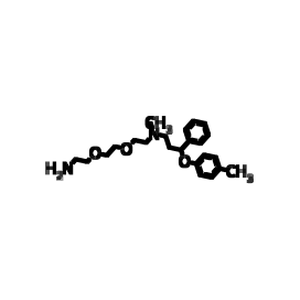 Cc1ccc(OC(CCN(C)CCOCCOCCN)c2ccccc2)cc1